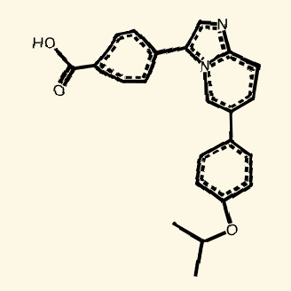 CC(C)Oc1ccc(-c2ccc3ncc(-c4ccc(C(=O)O)cc4)n3c2)cc1